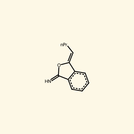 CCC/C=C1\OC(=N)c2ccccc21